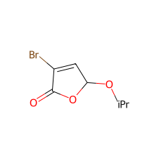 CC(C)OC1C=C(Br)C(=O)O1